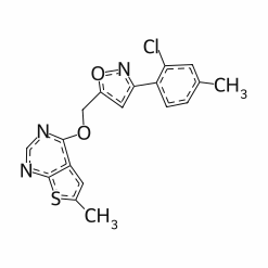 Cc1ccc(-c2cc(COc3ncnc4sc(C)cc34)on2)c(Cl)c1